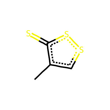 Cc1cssc1=S